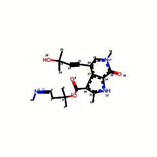 C/N=C\CC(C)(C)OC(=O)c1c(C)[nH]c2c(=O)n(C)cc(C#CC(C)(C)O)c12